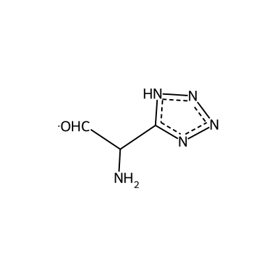 NC([C]=O)c1nnn[nH]1